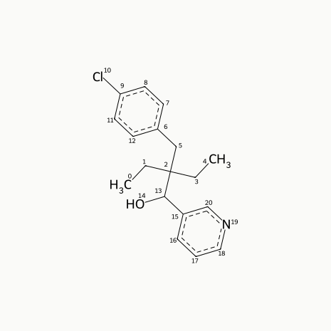 CCC(CC)(Cc1ccc(Cl)cc1)C(O)c1cccnc1